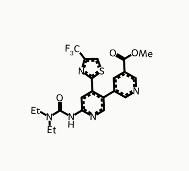 CCN(CC)C(=O)Nc1cc(-c2nc(C(F)(F)F)cs2)c(-c2cncc(C(=O)OC)c2)cn1